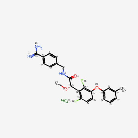 CCO[C@H](C(=O)NCc1ccc(C(=N)N)cc1)c1c(F)ccc(Oc2cccc(C(F)(F)F)c2)c1F.Cl